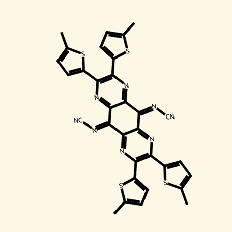 Cc1ccc(-c2nc3c(nc2-c2ccc(C)s2)C(=NC#N)c2nc(-c4ccc(C)s4)c(-c4ccc(C)s4)nc2C3=NC#N)s1